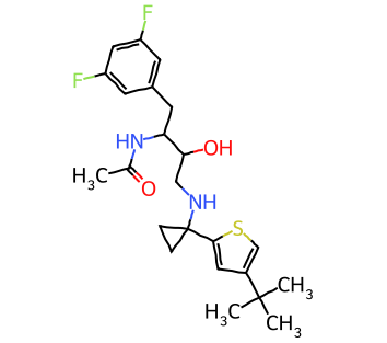 CC(=O)NC(Cc1cc(F)cc(F)c1)C(O)CNC1(c2cc(C(C)(C)C)cs2)CC1